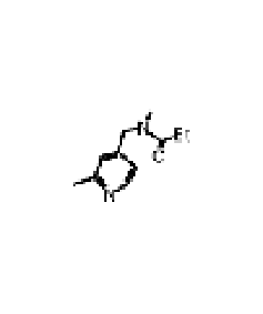 CCC(=O)N(C)Cc1ccnc(C)c1